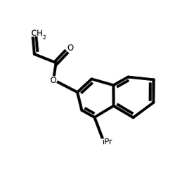 C=CC(=O)Oc1cc(C(C)C)c2ccccc2c1